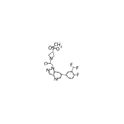 CS(=O)(=O)C1CN(C(=O)Cn2ncc3ncc(-c4ccc(F)c(C(F)F)c4)cc32)C1